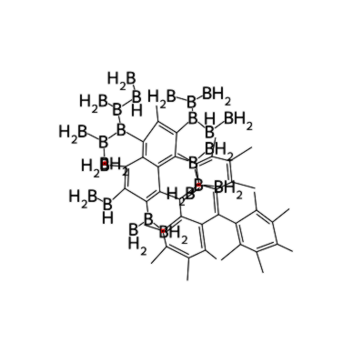 BBB(B)B(B(B)B)c1c(C)c(B(BB)B(B)B)c(B(B)B(B)B)c2c(-c3c4c(C)c(C)c(C)c(C)c4c(-c4c(C)c(C)c(C)c(C)c4C)c4c(C)c(C)c(C)c(C)c34)c(B(B)B)c(BB)c(B)c12